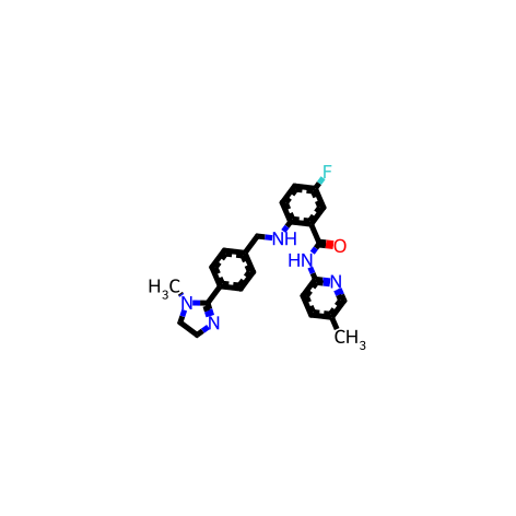 Cc1ccc(NC(=O)c2cc(F)ccc2NCc2ccc(C3=NCCN3C)cc2)nc1